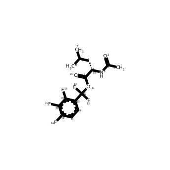 CC(=O)N[C@@H](CC(C)C)C(=O)OC(F)(F)c1ccc(F)c(F)c1F